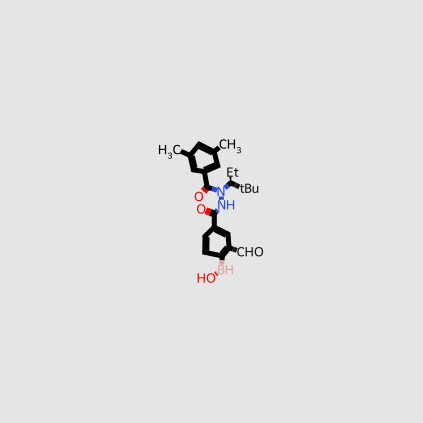 CC[C@@H](N(NC(=O)c1ccc(BO)c(C=O)c1)C(=O)c1cc(C)cc(C)c1)C(C)(C)C